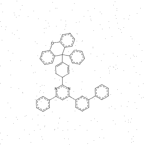 C1=CC(c2nc(-c3ccccc3)cc(-c3cccc(-c4ccccc4)c3)n2)CC=C1C1(c2ccccc2)c2ccccc2Oc2ccccc21